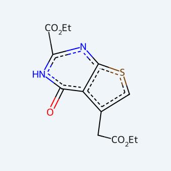 CCOC(=O)Cc1csc2nc(C(=O)OCC)[nH]c(=O)c12